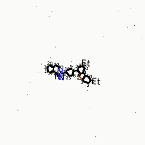 CCc1ccc2sc3c(-c4ccc(-c5nnc6c7ccccc7ccn56)cc4)cc(CC)cc3c2c1